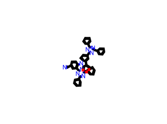 N#Cc1ccc(-n2c3ccccc3c3cc(-c4nc(-c5ccccc5)nc(-c5ccccc5)n4)ccc32)c(-c2nc(-c3ccccc3)nc(-c3ccccc3)n2)c1